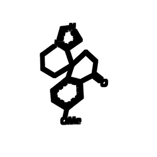 COc1ccc2c(c1)C(=O)CCC21CCCn2cncc21